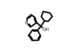 OC(c1ccccc1)(c1cccnc1)C1CCCCC1